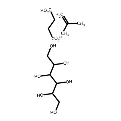 C=C(C)C.O=C(O)CCC(=O)O.OCC(O)C(O)C(O)C(O)CO